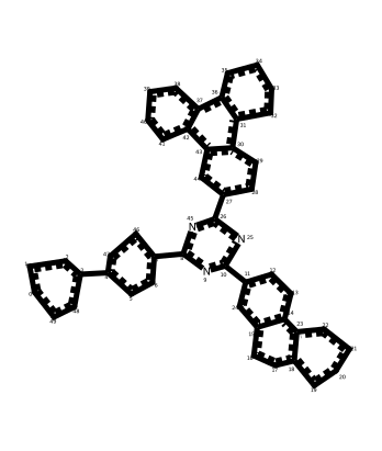 c1ccc(-c2ccc(-c3nc(-c4ccc5c(ccc6ccccc65)c4)nc(-c4ccc5c6ccccc6c6ccccc6c5c4)n3)cc2)cc1